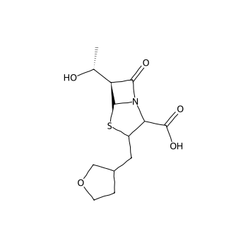 C[C@@H](O)[C@H]1C(=O)N2C(C(=O)O)C(CC3CCOC3)SC12